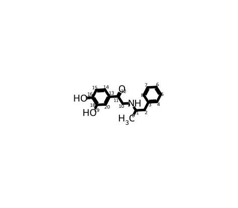 CC(Cc1ccccc1)NCC(=O)c1ccc(O)c(O)c1